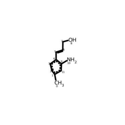 Cc1ccc(C=CCO)c(N)c1